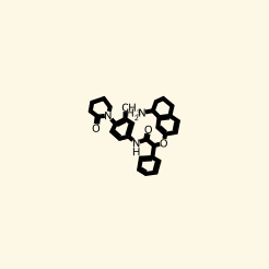 Cc1cc(NC(=O)C(Oc2ccc3c(c2)C(N)CCC3)c2ccccc2)ccc1N1CCCCC1=O